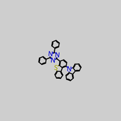 c1ccc(-c2nc(-c3ccccc3)nc(-c3ccc(-n4c5ccccc5c5ccccc54)c4c3sc3ccccc34)n2)cc1